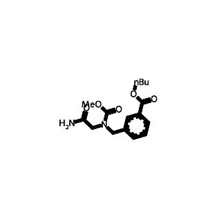 CCCCOC(=O)c1cccc(CN(CC(N)=O)C(=O)OC)c1